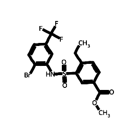 CCc1ccc(C(=O)OC)cc1S(=O)(=O)Nc1cc(C(F)(F)F)ccc1Br